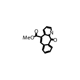 COC(=O)c1cc2ccccc2c(=O)c2ncccc12